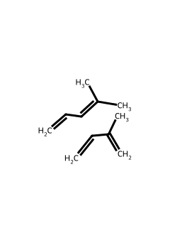 C=CC(=C)C.C=CC=C(C)C